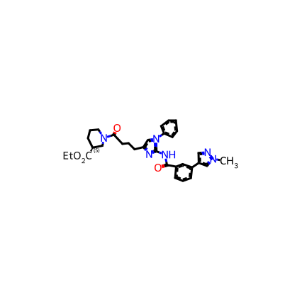 CCOC(=O)[C@H]1CCCN(C(=O)CCCc2cn(-c3ccccc3)c(NC(=O)c3cccc(-c4cnn(C)c4)c3)n2)C1